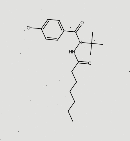 CCCCCCC(=O)NN(C(=O)c1ccc(Cl)cc1)C(C)(C)C